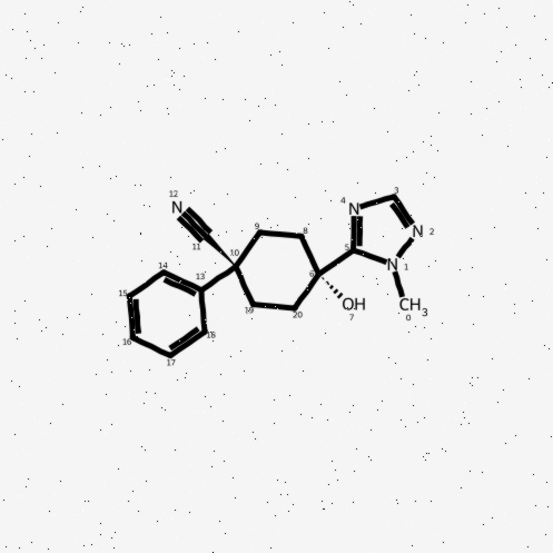 Cn1ncnc1[C@]1(O)CC[C@@](C#N)(c2ccccc2)CC1